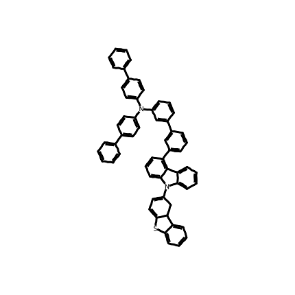 C1=C2Sc3ccccc3C2CC(n2c3ccccc3c3c(-c4cccc(-c5cccc(N(c6ccc(-c7ccccc7)cc6)c6ccc(-c7ccccc7)cc6)c5)c4)cccc32)=C1